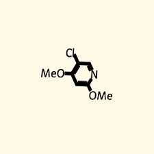 COc1cc(OC)c(Cl)cn1